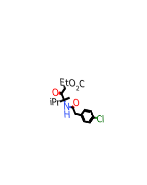 CCOC(=O)CC(=O)C(C)(NC(=O)Cc1ccc(Cl)cc1)C(C)C